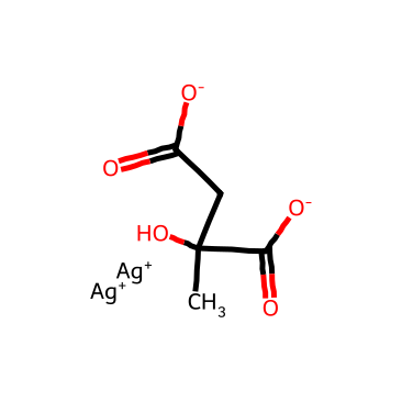 CC(O)(CC(=O)[O-])C(=O)[O-].[Ag+].[Ag+]